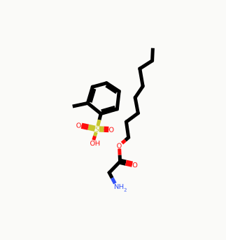 CCCCCCCCOC(=O)CN.Cc1ccccc1S(=O)(=O)O